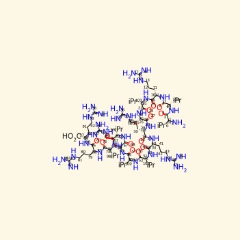 CC(C)[C@H](N)C(=O)N[C@H](C(=O)N[C@@H](CCCNC(=N)N)C(=O)N[C@H](C(=O)N[C@H](C(=O)N[C@@H](CCCNC(=N)N)C(=O)N[C@@H](CCCNC(=N)N)C(=O)N[C@H](C(=O)N[C@H](C(=O)N[C@@H](CCCNC(=N)N)C(=O)N[C@H](C(=O)N[C@H](C(=O)N[C@@H](CCCNC(=N)N)C(=O)N[C@@H](CCCNC(=N)N)C(=O)O)C(C)C)C(C)C)C(C)C)C(C)C)C(C)C)C(C)C)C(C)C